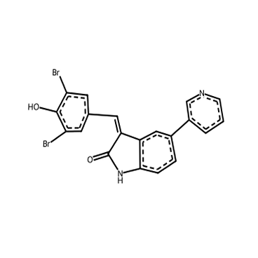 O=C1Nc2ccc(-c3cccnc3)cc2C1=Cc1cc(Br)c(O)c(Br)c1